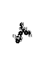 CC[C@@H]1CN(Cc2cc(C(c3ccc4c(nnn4CC)c3C)C(C)(C)NC(=O)c3ccns3)ccc2C)S(=O)(=O)c2ccccc2O1